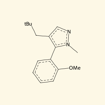 COc1ccccc1-c1c(CC(C)(C)C)cnn1C